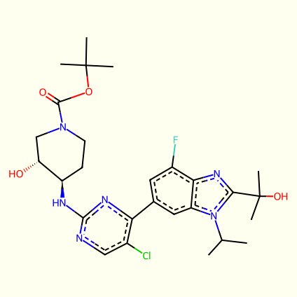 CC(C)n1c(C(C)(C)O)nc2c(F)cc(-c3nc(N[C@@H]4CCN(C(=O)OC(C)(C)C)C[C@H]4O)ncc3Cl)cc21